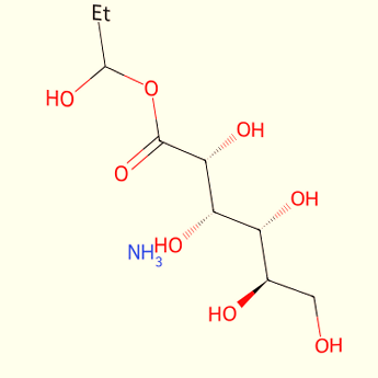 CCC(O)OC(=O)[C@H](O)[C@@H](O)[C@H](O)[C@H](O)CO.N